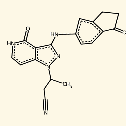 CC(CC#N)n1nc(Nc2ccc3c(c2)CCC3=O)c2c(=O)[nH]ccc21